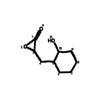 O=C1OC1CC1CCCCC1O